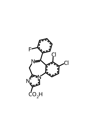 O=C(O)c1cn2c(n1)CN=C(c1ccccc1F)c1c-2ccc(Cl)c1Cl